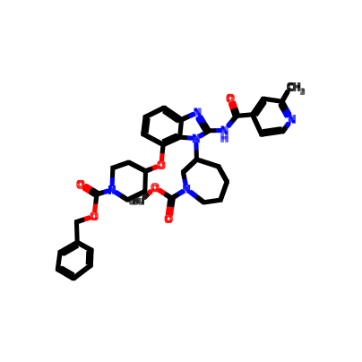 Cc1cc(C(=O)Nc2nc3cccc(OC4CCN(C(=O)OCc5ccccc5)CC4)c3n2C2CCCCN(C(=O)OC(C)(C)C)C2)ccn1